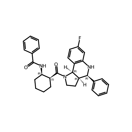 O=C(N[C@@H]1CCCC[C@@H]1C(=O)N1CC[C@@H]2[C@H](c3ccccc3)Nc3cc(F)ccc3[C@@H]21)c1ccccc1